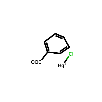 O=C([O-])c1ccccc1.[Cl][Hg+]